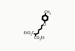 CCOC(=O)C(CCCCOc1ccc(C)cc1)C(=O)OCC